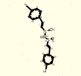 [O-][S+](/C=C/c1ccc(I)cc1)N[S+]([O-])/C=C/c1ccc(I)cc1